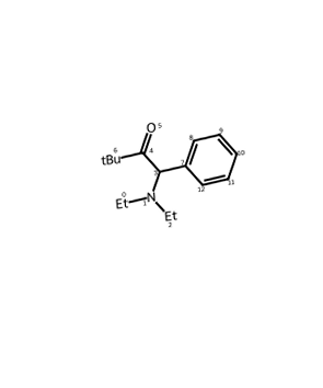 CCN(CC)C(C(=O)C(C)(C)C)c1ccccc1